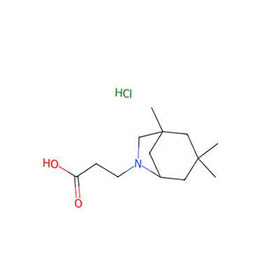 CC1(C)CC2CC(C)(CN2CCC(=O)O)C1.Cl